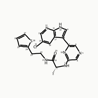 C[C@@H](Nc1cncc(-c2c[nH]c3ncc(Cl)cc23)n1)C(=O)NCCc1cccs1